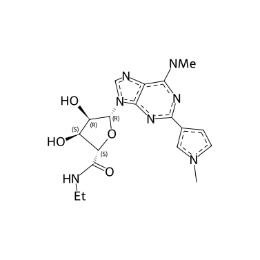 CCNC(=O)[C@H]1O[C@@H](n2cnc3c(NC)nc(-c4ccn(C)c4)nc32)[C@H](O)[C@@H]1O